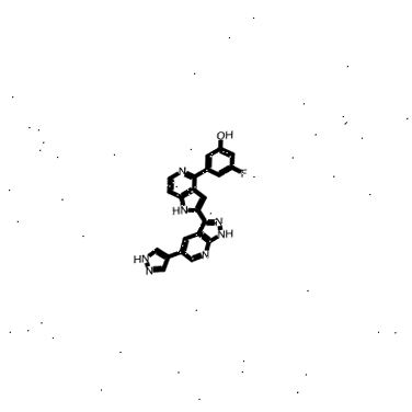 Oc1cc(F)cc(-c2nccc3[nH]c(-c4n[nH]c5ncc(-c6cn[nH]c6)cc45)cc23)c1